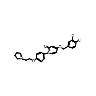 O=c1cc(OCc2ccc(Cl)c(Cl)c2)ccn1-c1ccc(OCCN2CCCC2)cc1